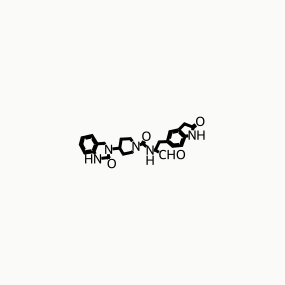 O=CC(Cc1ccc2c(c1)CC(=O)N2)NC(=O)N1CCC(N2Cc3ccccc3NC2=O)CC1